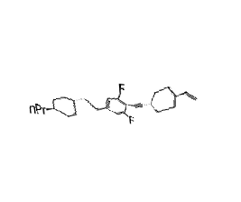 C=C[C@H]1CC[C@H](C#Cc2c(F)cc(CC[C@H]3CC[C@H](CCC)CC3)cc2F)CC1